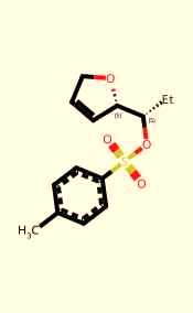 CC[C@H](OS(=O)(=O)c1ccc(C)cc1)[C@@H]1C=CCO1